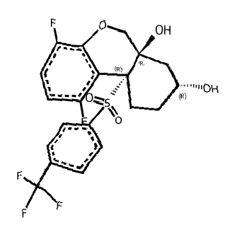 O=S(=O)(c1ccc(C(F)(F)F)cc1)[C@@]12CC[C@@H](O)C[C@@]1(O)COc1c(F)ccc(F)c12